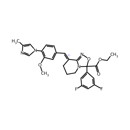 CCOC(=O)C1(c2cc(F)cc(F)c2)ON=C2/C(=C/c3ccc(-n4cnc(C)c4)c(OC)c3)CCCN21